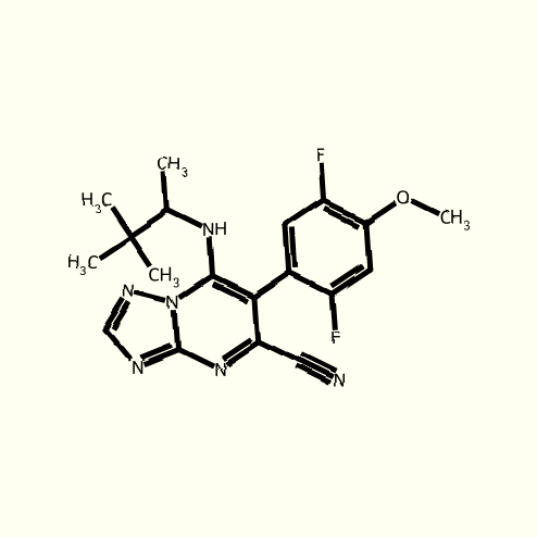 COc1cc(F)c(-c2c(C#N)nc3ncnn3c2NC(C)C(C)(C)C)cc1F